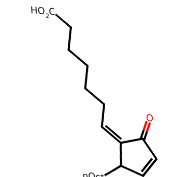 CCCCCCCCC1C=CC(=O)C1=CCCCCCC(=O)O